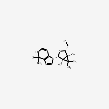 CC1(C)[C@]2(O)[C@@H](CO)O[C@@H](n3cnc4c3N=CNC4(N)Cl)[C@]12O